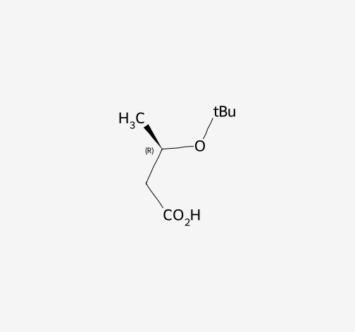 C[C@H](CC(=O)O)OC(C)(C)C